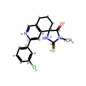 CN1C(=O)C2(CCCc3cnc(-c4cccc(Cl)c4)cc32)NC1=S